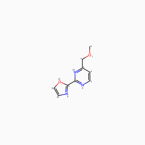 COCc1ccnc(-c2ncco2)n1